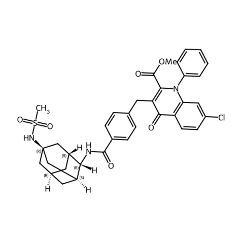 COC(=O)c1c(Cc2ccc(C(=O)N[C@H]3[C@@H]4C[C@H]5C[C@H]3C[C@](NS(C)(=O)=O)(C5)C4)cc2)c(=O)c2ccc(Cl)cc2n1-c1ccccc1